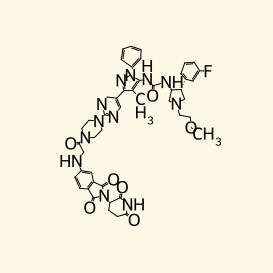 COCCN1C[C@@H](NC(=O)Nc2c(C)c(-c3cnc(N4CCN(C(=O)CNc5ccc6c(c5)C(=O)N(C5CCC(=O)NC5=O)C6=O)CC4)nc3)nn2-c2ccccc2)[C@H](c2cccc(F)c2)C1